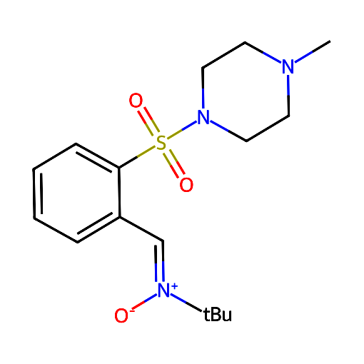 CN1CCN(S(=O)(=O)c2ccccc2/C=[N+](\[O-])C(C)(C)C)CC1